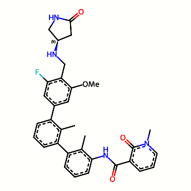 COc1cc(-c2cccc(-c3cccc(NC(=O)c4cccn(C)c4=O)c3C)c2C)cc(F)c1CN[C@H]1CNC(=O)C1